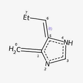 C=c1nc[nH]/c1=C/CC